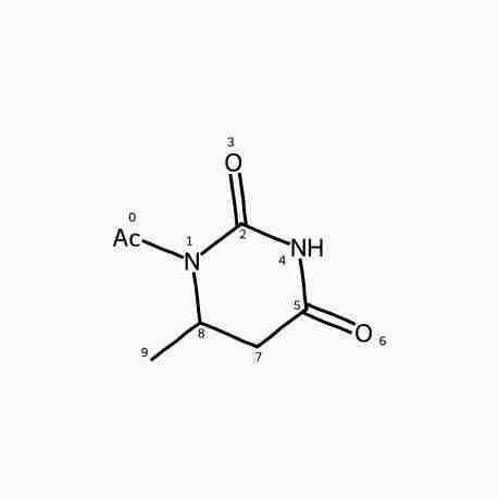 CC(=O)N1C(=O)NC(=O)CC1C